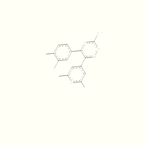 Cc1cc(-c2nnc(N)nc2-c2ccc(F)c(Cl)c2)cc(Cl)n1